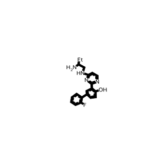 CCC(N)CNc1ccnc(-c2cc(-c3ccccc3F)ccc2O)n1